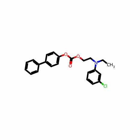 CCN(CCOC(=O)Oc1ccc(-c2ccccc2)cc1)c1cccc(Cl)c1